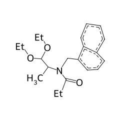 CCOC(OCC)C(C)N(Cc1cccc2ccccc12)C(=O)CC